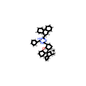 c1ccc(C2N=C(c3cccc4c3Oc3ccccc3C43c4ccccc4-c4ccccc43)N=C(c3cc4ccccc4c4ccccc34)N2)cc1